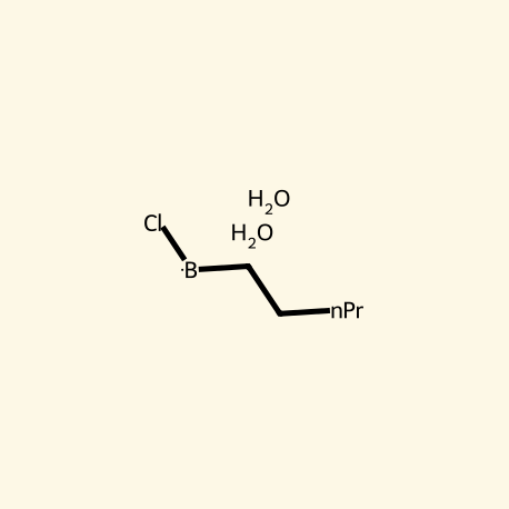 CCCCC[B]Cl.O.O